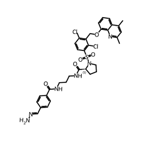 Cc1cc(C)c2cccc(OCc3c(Cl)ccc(S(=O)(=O)N4CCC[C@H]4C(=O)NCCCNC(=O)c4ccc(C=NN)cc4)c3Cl)c2n1